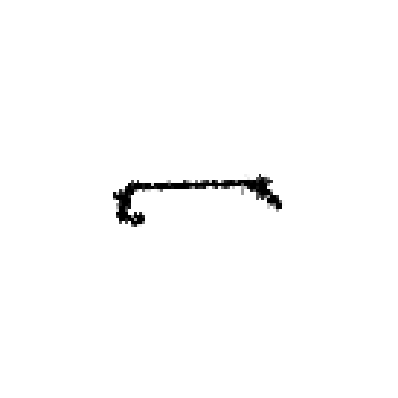 Cc1ccc(C(=O)Nc2ccc(CN3CCN(C(=O)CCOCCOCCOCCOCCOCCOCCOCCOCCOCCOCCOCCOCCNC(=O)C4CCN(c5ncc(C(=O)Nc6ccc(OC(F)(F)Cl)cc6)cc5-c5ccn[nH]5)CC4)CC3)c(C(F)(F)F)c2)cc1C#Cc1cnc2cccnn12